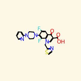 O=C(O)c1cn(Cc2nccs2)c2c(F)c(N3CCN(c4ccccn4)CC3)c(F)cc2c1=O